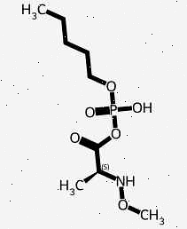 CCCCCOP(=O)(O)OC(=O)[C@H](C)NOC